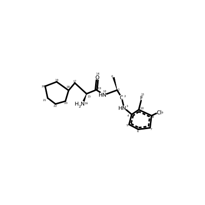 C[C@@H](CNc1cccc(Cl)c1F)NC(=O)[C@@H](N)CC1CCCCC1